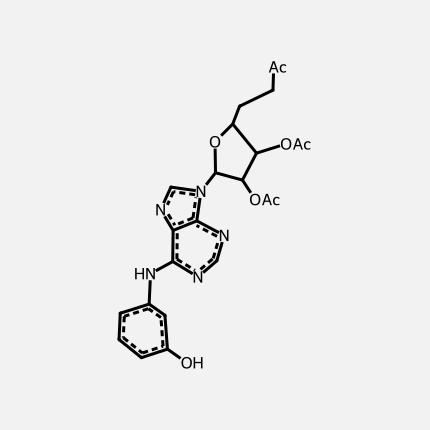 CC(=O)CCC1OC(n2cnc3c(Nc4cccc(O)c4)ncnc32)C(OC(C)=O)C1OC(C)=O